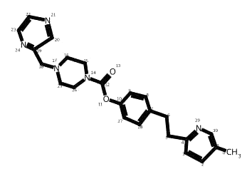 Cc1ccc(CCc2ccc(OC(=O)N3CCN(Cc4cnccn4)CC3)cc2)nc1